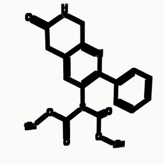 CC(C)(C)OC(=O)N(C(=O)OC(C)(C)C)c1cc2c(nc1-c1ccccc1)CNC(=O)C2